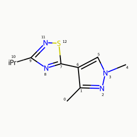 Cc1nn(C)cc1-c1nc(C(C)C)ns1